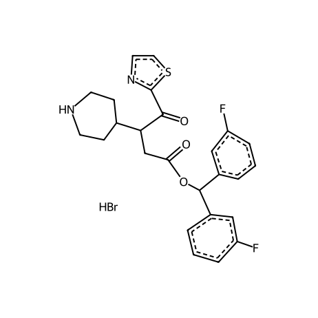 Br.O=C(CC(C(=O)c1nccs1)C1CCNCC1)OC(c1cccc(F)c1)c1cccc(F)c1